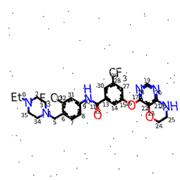 CCN1CCN(Cc2ccc(NC(=O)c3cc(Oc4ncnc5c4OCCN5)cc(C(F)(F)F)c3)cc2C(F)(F)F)CC1